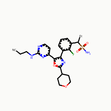 CCC(c1cccc(-c2nc(C3CCOCC3)oc2-c2ccnc(NCCC#N)n2)c1F)S(N)(=O)=O